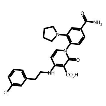 NC(=O)c1ccc(-n2ccc(NCCc3cccc(Cl)c3)c(C(=O)O)c2=O)c(N2CCCC2)c1